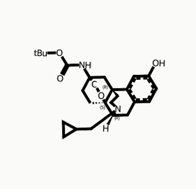 CC(C)(C)OC(=O)NC12CC[C@@]3(OC1)[C@H]1Cc4ccc(O)cc4[C@@]3(CCN1CC1CC1)C2